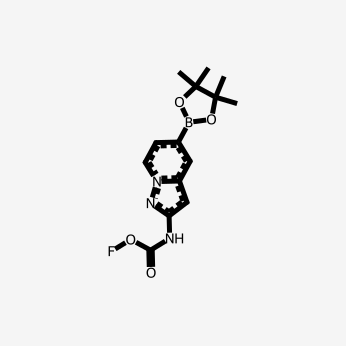 CC1(C)OB(c2ccn3nc(NC(=O)OF)cc3c2)OC1(C)C